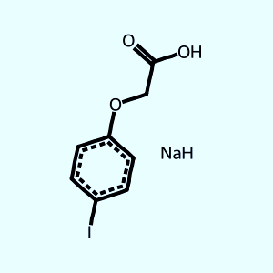 O=C(O)COc1ccc(I)cc1.[NaH]